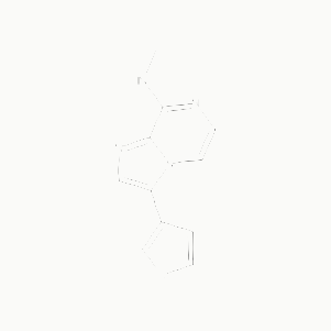 CNc1nccn2c(-c3ccsc3)cnc12